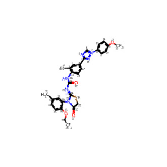 CCc1cc(-c2ncn(-c3ccc(OC(F)(F)F)cc3)n2)ccc1NC(=O)/N=C1\SCC(=O)N1c1cc(C)ccc1OCC(F)(F)F